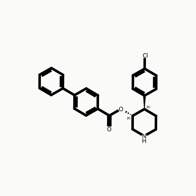 O=C(O[C@H]1CNCC[C@@H]1c1ccc(Cl)cc1)c1ccc(-c2ccccc2)cc1